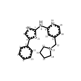 c1ccc(-c2cnc(Nc3cc(CN4CCCC4)ccn3)s2)cc1